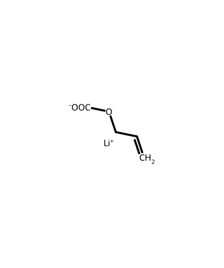 C=CCOC(=O)[O-].[Li+]